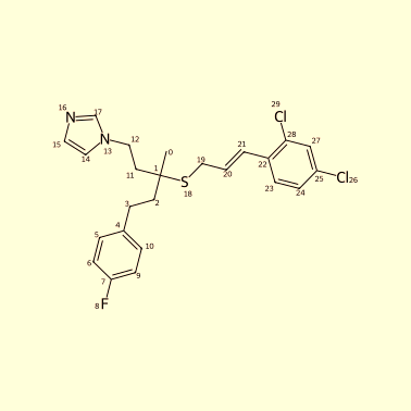 CC(CCc1ccc(F)cc1)(CCn1ccnc1)SCC=Cc1ccc(Cl)cc1Cl